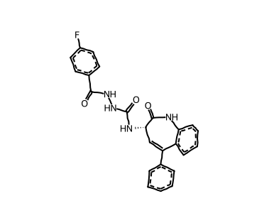 O=C(NNC(=O)c1ccc(F)cc1)N[C@H]1C=C(c2ccccc2)c2ccccc2NC1=O